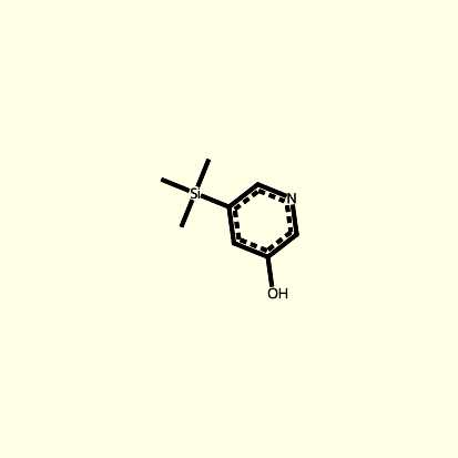 C[Si](C)(C)c1cncc(O)c1